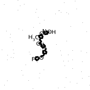 Cc1cc(Oc2ccc(O)cn2)ccc1C=CC(=O)N1CCN(Cc2ccc(CCOc3ccc(F)cc3)cc2)CC1